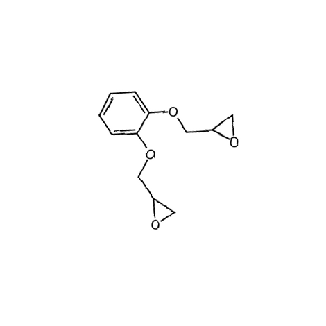 c1ccc(OCC2CO2)c(OCC2CO2)c1